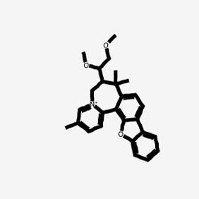 COCC(OC)C1C[n+]2cc(C)ccc2-c2c(ccc3c2oc2ccccc23)C1(C)C